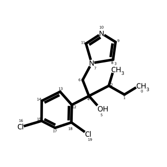 CCC(C)C(O)(Cn1ccnc1)c1ccc(Cl)cc1Cl